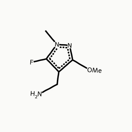 COc1nn(C)c(F)c1CN